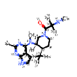 [2H]c1nc(N(C)[C@@]2([2H])CN(C(=O)C([2H])([2H])[N+]#[C-])CC[C@H]2C([2H])([2H])[2H])c2cc[nH]c2n1